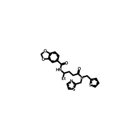 CCC(CCC(=O)N(Cc1cccs1)Cc1nccs1)NC(=O)c1ccc2c(c1)OCO2